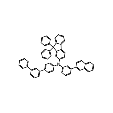 c1ccc(-c2cccc(-c3ccc(N(c4cccc(-c5ccc6ccccc6c5)c4)c4ccc5c(c4)C(c4ccccc4)(c4ccccc4)c4ccccc4-5)cc3)c2)cc1